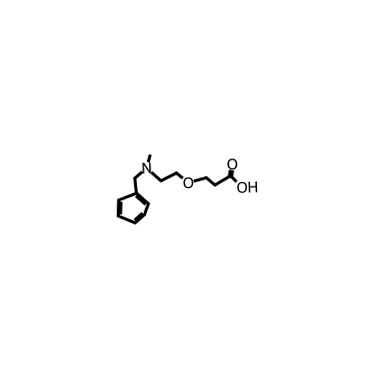 CN(CCOCCC(=O)O)Cc1ccccc1